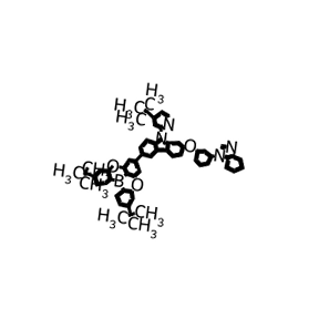 CC(C)(C)c1ccnc(-n2c3ccc(-c4cc5c6c(c4)Oc4cc(C(C)(C)C)ccc4B6c4ccc(C(C)(C)C)cc4O5)cc3c3ccc(Oc4cccc(-n5cnc6ccccc65)c4)cc32)c1